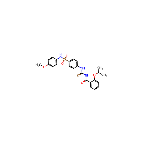 COc1ccc(NS(=O)(=O)c2ccc(NC(=S)NC(=O)c3ccccc3OC(C)C)cc2)cc1